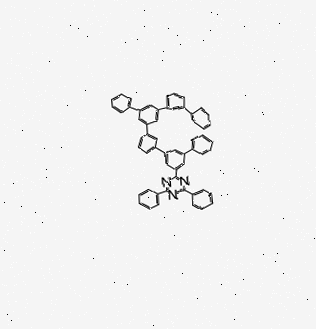 c1ccc(-c2cccc(-c3cc(-c4ccccc4)cc(-c4cccc(-c5cc(-c6ccccc6)cc(-c6nc(-c7ccccc7)nc(-c7ccccc7)n6)c5)c4)c3)c2)cc1